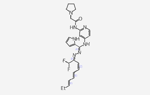 CC/C=C/C=C/C=C\C(=N/N=C(/Nc1ccnc(NC(=O)CN2CCCC2)c1)c1ccc[nH]1)C(F)F